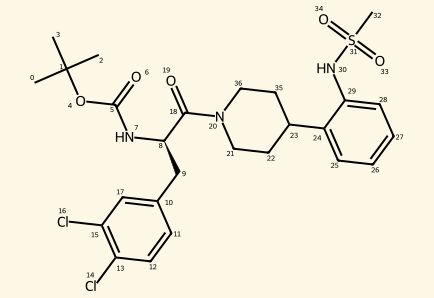 CC(C)(C)OC(=O)N[C@H](Cc1ccc(Cl)c(Cl)c1)C(=O)N1CCC(c2ccccc2NS(C)(=O)=O)CC1